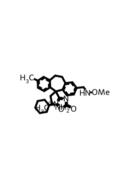 CONCc1ccc2c(c1)CCc1cc(C)ccc1C2(C[C@H](C)N)c1nc(=O)on1C1CCCCC1